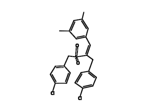 Cc1cc(C)cc(C=C(Cc2ccc(Cl)cc2)S(=O)(=O)Cc2ccc(Cl)cc2)c1